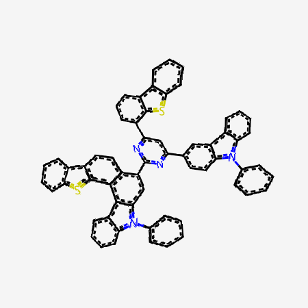 c1ccc(-n2c3ccccc3c3cc(-c4cc(-c5cccc6c5sc5ccccc56)nc(-c5cc6c(c7ccccc7n6-c6ccccc6)c6c5ccc5c7ccccc7sc56)n4)ccc32)cc1